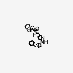 O=C(NOC1CCCCO1)/C(F)=C/c1ccc(N[C@@H]2CCN(Cc3ccccc3)C2)nc1